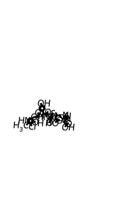 Cc1[nH]cc(OCC(=O)NC(C(=O)NC2C(=O)N3C(C(=O)O)=C(CSc4nnnn4CC(=O)O)CS[C@@H]23)c2ccc(O)cc2)c(=O)c1Cl